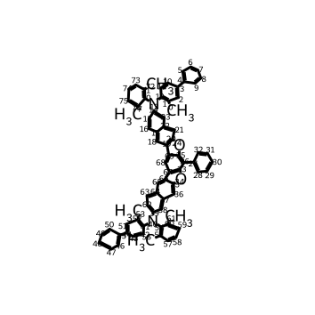 Cc1cc(-c2ccccc2)ccc1N(c1ccc2cc3c(cc2c1)oc1c(-c2ccccc2)c2oc4cc5cc(N(c6ccc(-c7ccccc7)cc6C)c6c(C)cccc6C)ccc5cc4c2cc13)c1c(C)cccc1C